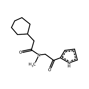 CN(CC(=O)c1ccc[nH]1)C(=O)CC1CCCCC1